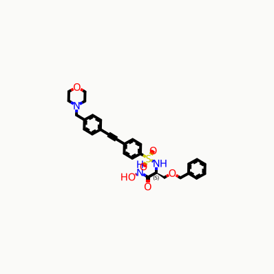 O=C(NO)[C@H](COCc1ccccc1)NS(=O)(=O)c1ccc(C#Cc2ccc(CN3CCOCC3)cc2)cc1